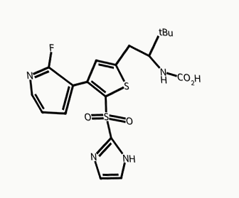 CC(C)(C)C(Cc1cc(-c2cccnc2F)c(S(=O)(=O)c2ncc[nH]2)s1)NC(=O)O